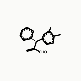 C=C(C=O)[C@H](c1ccccc1)c1ccc(C)c(C)c1